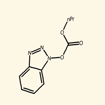 CCCOC(=O)On1nnc2ccccc21